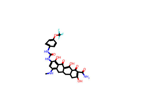 CNc1cc(NC(=O)Nc2ccc(OC(F)(F)F)cc2)c(O)c2c1CC1CC3CC(O)=C(C(N)=O)C(=O)C3C(O)=C1C2=O